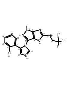 FC(F)(F)CNc1nc2[nH]nc(-n3cncc3-c3ccccc3Cl)c2s1